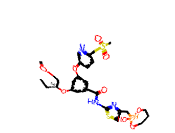 CC[C@@H](COC)Oc1cc(Oc2ccc(S(C)(=O)=O)nc2)cc(C(=O)Nc2nc(C[PH]3(O)OCCCO3)cs2)c1